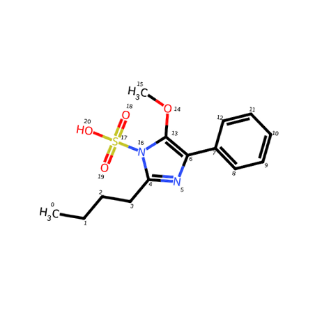 CCCCc1nc(-c2ccccc2)c(OC)n1S(=O)(=O)O